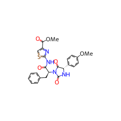 COC(=O)c1csc(NC(=O)[C@H](Cc2ccccc2)N2C(=O)N[C@@H](c3ccc(OC)cc3)C2=O)n1